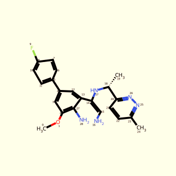 COc1cc(-c2ccc(F)cc2)cc(/C(=C\N)N[C@H](C)c2ccc(C)nn2)c1N